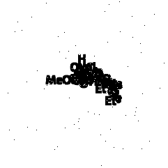 CCC(Oc1ccc(C(C)(C)CC)cc1C(C)(C)CC)C(=O)Nc1ccc(Cl)c(NC(=O)C(C(=O)c2ccc(OC)cc2)N2C(=O)NC(=O)C2(C)C)c1